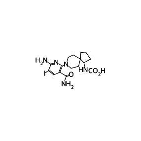 NC(=O)c1cc(I)c(N)nc1N1CCC2(CCCC2NC(=O)O)CC1